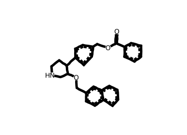 O=C(OCc1ccc(C2CCNCC2OCc2ccc3ccccc3c2)cc1)c1ccccc1